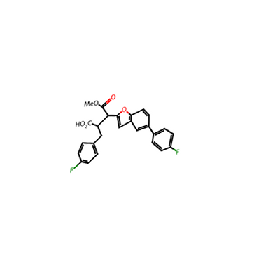 COC(=O)C(c1cc2cc(-c3ccc(F)cc3)ccc2o1)C(Cc1ccc(F)cc1)C(=O)O